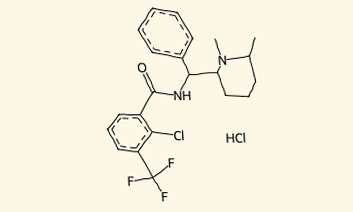 CC1CCCC(C(NC(=O)c2cccc(C(F)(F)F)c2Cl)c2ccccc2)N1C.Cl